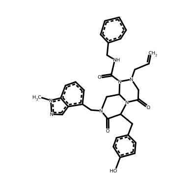 C=CCN1CC(=O)N2C(Cc3ccc(O)cc3)C(=O)N(Cc3cccc4c3cnn4C)CC2N1C(=O)NCc1ccccc1